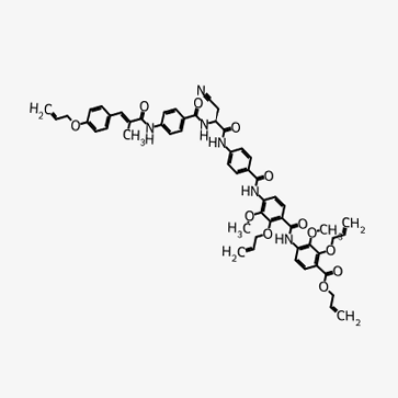 C=CCOC(=O)c1ccc(NC(=O)c2ccc(NC(=O)c3ccc(NC(=O)[C@H](CC#N)NC(=O)c4ccc(NC(=O)/C(C)=C/c5ccc(OCC=C)cc5)cc4)cc3)c(OC)c2OCC=C)c(OC)c1OCC=C